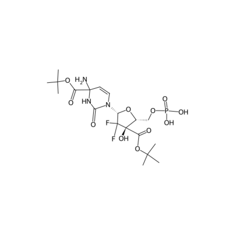 CC(C)(C)OC(=O)C1(N)C=CN([C@@H]2O[C@H](COP(=O)(O)O)[C@](O)(C(=O)OC(C)(C)C)C2(F)F)C(=O)N1